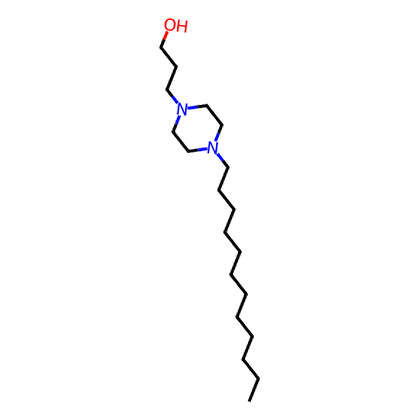 CCCCCCCCCCCCN1CCN(CCCO)CC1